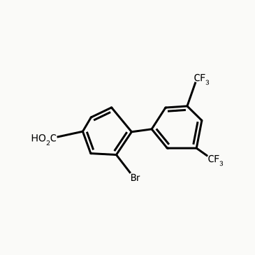 O=C(O)c1ccc(-c2cc(C(F)(F)F)cc(C(F)(F)F)c2)c(Br)c1